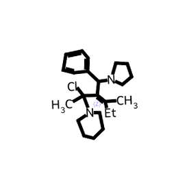 CC/C(C)=C(/C(c1ccccc1)N1CCCC1)C(C)(Cl)N1CCCCC1